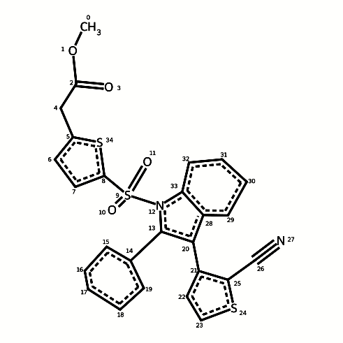 COC(=O)Cc1ccc(S(=O)(=O)n2c(-c3ccccc3)c(-c3ccsc3C#N)c3ccccc32)s1